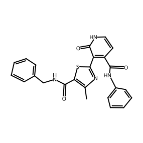 Cc1nc(-c2c(C(=O)Nc3ccccc3)cc[nH]c2=O)sc1C(=O)NCc1ccccc1